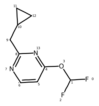 FC(F)Oc1c[c]nc(CC2CC2)n1